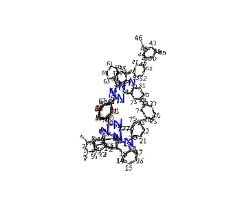 Cc1cc(C)cc(-c2ccc3c(c2)c2ccccc2n3-c2ccc(-c3cccc(-c4ccc(-n5c6ccccc6c6cc(-c7cc(C)cc(C)c7)ccc65)c(-c5nc(-c6ccccc6)nc(-c6ccccc6)n5)c4)c3)cc2-c2nc(-c3ccccc3)nc(-c3ccccc3)n2)c1